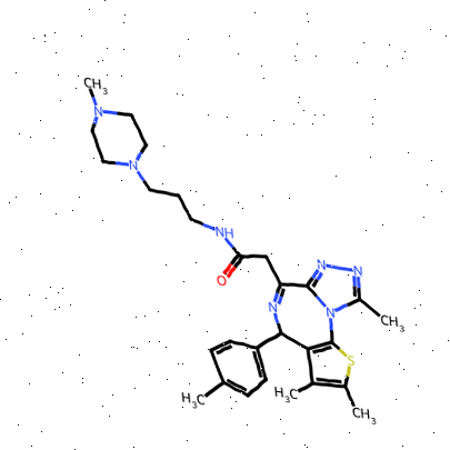 Cc1ccc(C2N=C(CC(=O)NCCCN3CCN(C)CC3)c3nnc(C)n3-c3sc(C)c(C)c32)cc1